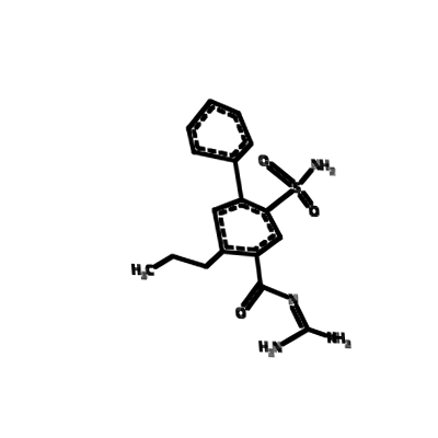 CCCc1cc(-c2ccccc2)c(S(N)(=O)=O)cc1C(=O)N=C(N)N